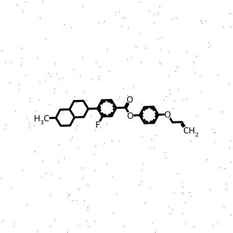 C=CCOc1ccc(OC(=O)c2ccc(C3CCC4CC(C)CCC4C3)c(F)c2)cc1